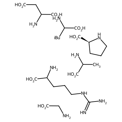 CC(N)C(=O)O.CCC(C)C(N)C(=O)O.N=C(N)NCCCC(N)C(=O)O.NC(CC(=O)O)C(=O)O.NCC(=O)O.O=C(O)[C@@H]1CCCN1